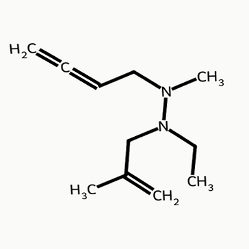 C=C=CCN(C)N(CC)CC(=C)C